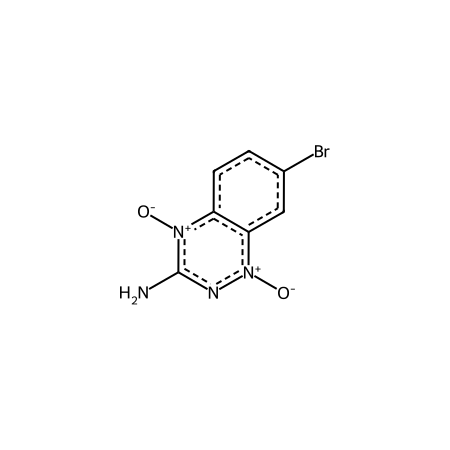 Nc1n[n+]([O-])c2cc(Br)ccc2[n+]1[O-]